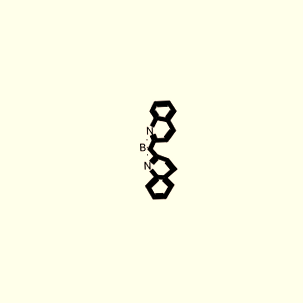 [B].c1ccc2nc(Cc3ccc4ccccc4n3)ccc2c1